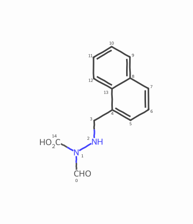 O=CN(NCc1cccc2ccccc12)C(=O)O